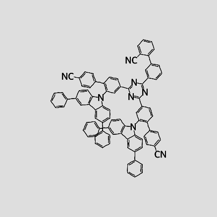 N#Cc1ccc(-c2ccc(-c3nc(-c4cccc(-c5ccccc5C#N)c4)nc(-c4ccc(-c5ccc(C#N)cc5)c(-n5c6ccc(-c7ccccc7)cc6c6cc(-c7ccccc7)ccc65)c4)n3)cc2-n2c3ccc(-c4ccccc4)cc3c3cc(-c4ccccc4)ccc32)cc1